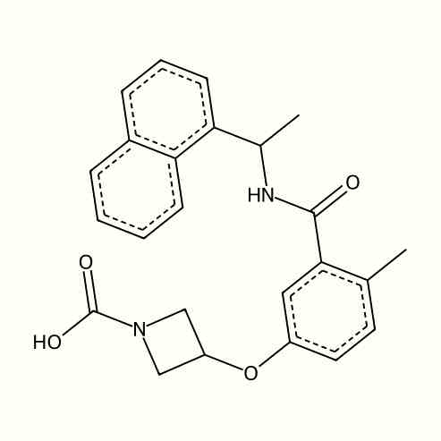 Cc1ccc(OC2CN(C(=O)O)C2)cc1C(=O)NC(C)c1cccc2ccccc12